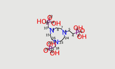 O=P(O)(O)CCN1CCN(CP(=O)(O)O)CCN(CP(=O)(O)O)CC1